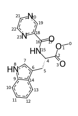 COC(=O)[C@H](Cc1c[nH]c2ccccc12)NC(=O)c1cnccn1